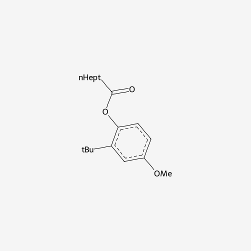 CCCCCCCC(=O)Oc1ccc(OC)cc1C(C)(C)C